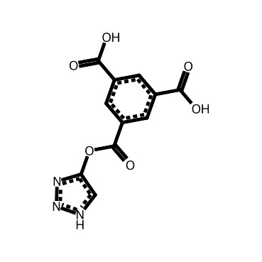 O=C(O)c1cc(C(=O)O)cc(C(=O)Oc2c[nH]nn2)c1